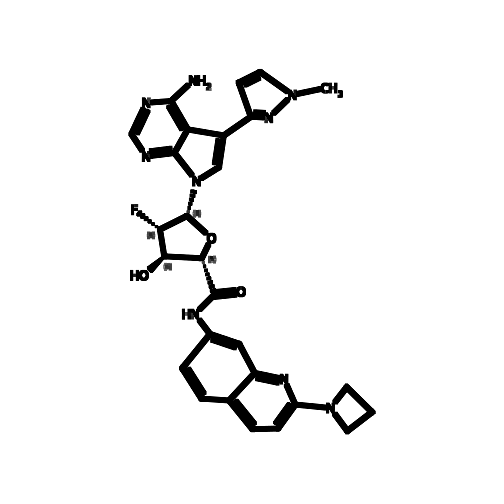 Cn1ccc(-c2cn([C@@H]3O[C@H](C(=O)Nc4ccc5ccc(N6CCC6)nc5c4)[C@@H](O)[C@@H]3F)c3ncnc(N)c23)n1